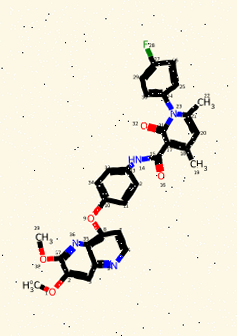 COc1cc2nccc(Oc3ccc(NC(=O)c4c(C)cc(C)n(-c5ccc(F)cc5)c4=O)cc3)c2nc1OC